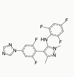 Cc1nn(C)c(Nc2c(F)cc(F)cc2F)c1-c1c(F)cc(-n2cncn2)cc1F